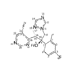 CC1=CC(F)=CCC1[C@@](O)(Cn1cncn1)[C@@H](C)c1ncncc1F